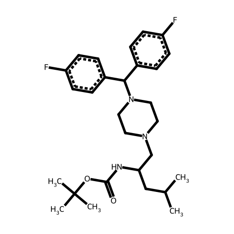 CC(C)CC(CN1CCN(C(c2ccc(F)cc2)c2ccc(F)cc2)CC1)NC(=O)OC(C)(C)C